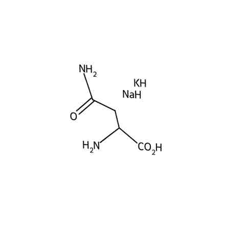 NC(=O)CC(N)C(=O)O.[KH].[NaH]